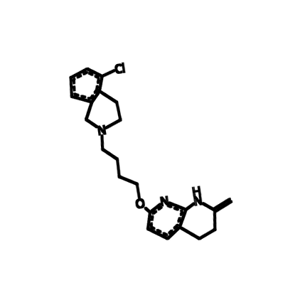 C=C1CCc2ccc(OCCCCN3CCc4c(Cl)cccc4C3)nc2N1